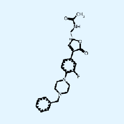 CC(=O)NC[C@H]1C=C(c2ccc(N3CCN(Cc4ccccc4)CC3)c(F)c2)C(=O)O1